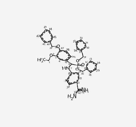 CCOc1cc(C(Nc2ccc(C(=N)N)cc2)P(=O)(OCc2ccccc2)OCc2ccccc2)ccc1OCc1ccccc1